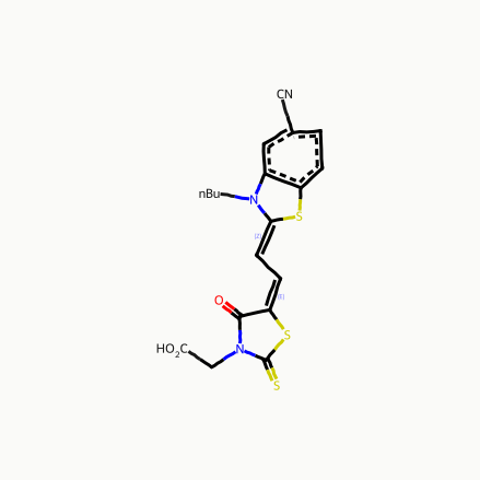 CCCCN1/C(=C/C=C2/SC(=S)N(CC(=O)O)C2=O)Sc2ccc(C#N)cc21